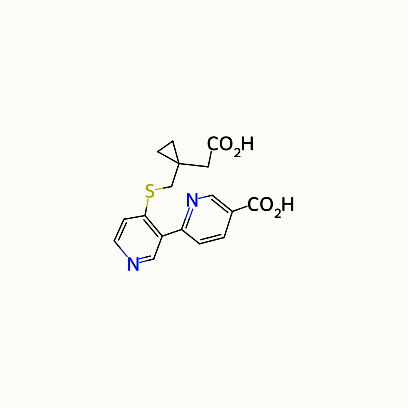 O=C(O)CC1(CSc2ccncc2-c2ccc(C(=O)O)cn2)CC1